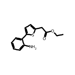 CCOC(=O)Cc1ccc(-c2ccccc2N)s1